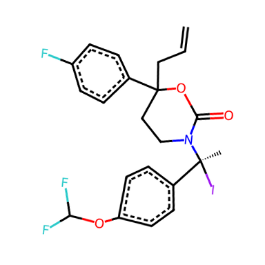 C=CCC1(c2ccc(F)cc2)CCN([C@@](C)(I)c2ccc(OC(F)F)cc2)C(=O)O1